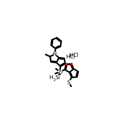 CSC1=C2C(=CC=[C]2[Zr]([CH3])([CH3])(=[SiH2])[C]2=C(C)C=C3C2=CC(C)N3c2ccccc2)C=C1.Cl.Cl